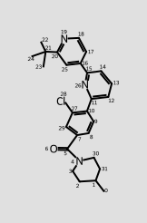 CC1CCN(C(=O)c2ccc(-c3cccc(-c4ccnc(C(C)(C)C)c4)n3)c(Cl)c2)CC1